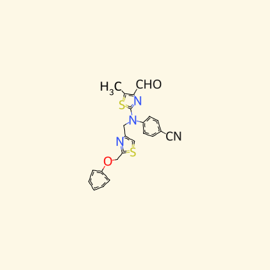 Cc1sc(N(Cc2csc(COc3ccccc3)n2)c2ccc(C#N)cc2)nc1C=O